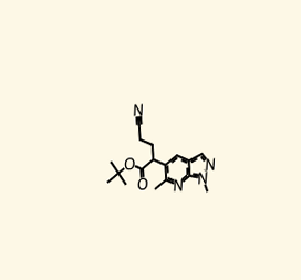 Cc1nc2c(cnn2C)cc1C(CCC#N)C(=O)OC(C)(C)C